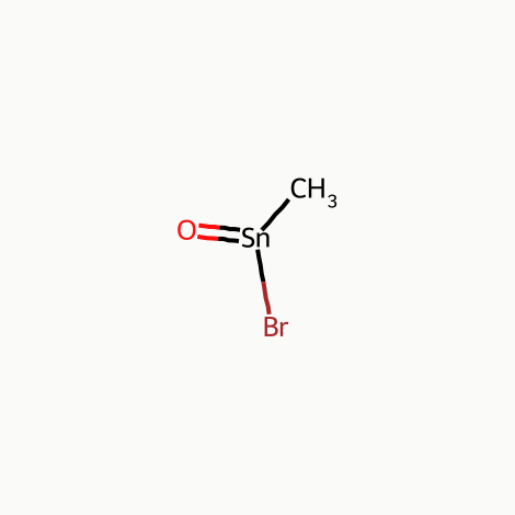 [CH3][Sn](=[O])[Br]